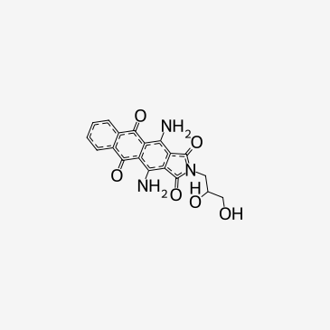 Nc1c2c(=O)c3ccccc3c(=O)c2c(N)c2c(=O)n(CC(O)CO)c(=O)c12